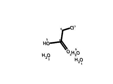 O.O.O.O=C(O)CCl